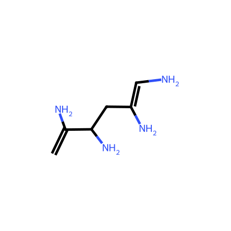 C=C(N)C(N)C/C(N)=C/N